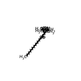 CCCCCCCCCCCCCCCCC=COC(=O)CCc1cc(C(C)(C)C)c(O)c(C(C)(C)C)c1